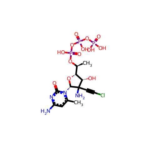 Cc1cc(N)nc(=O)n1[C@@H]1O[C@H]([C@H](C)OP(=O)(O)OP(=O)(O)OP(=O)(O)O)[C@H](O)C1(N)C#CCl